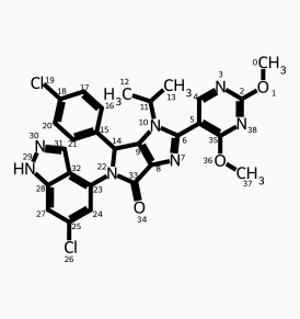 COc1ncc(-c2nc3c(n2C(C)C)C(c2ccc(Cl)cc2)N(c2cc(Cl)cc4[nH]ncc24)C3=O)c(OC)n1